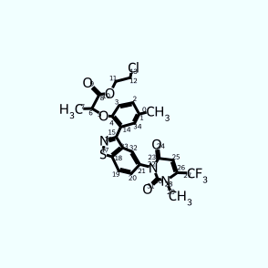 Cc1ccc(OC(C)C(=O)OCCCl)c(-c2nsc3ccc(-n4c(=O)cc(C(F)(F)F)n(C)c4=O)cc23)c1